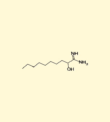 CCCCCCCCC(O)C(=N)N